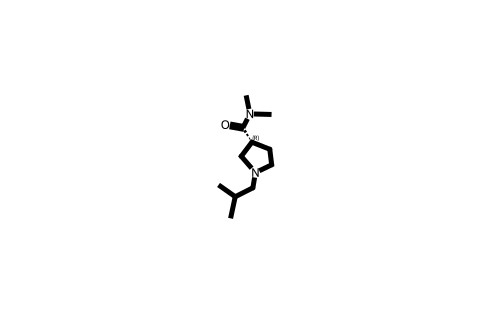 CC(C)CN1CC[C@@H](C(=O)N(C)C)C1